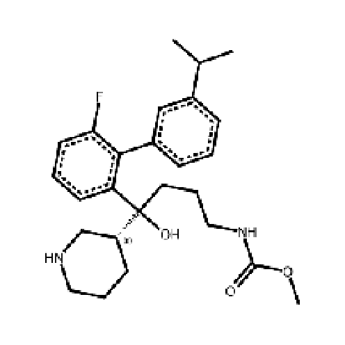 COC(=O)NCCCC(O)(c1cccc(F)c1-c1cccc(C(C)C)c1)[C@@H]1CCCNC1